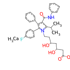 CC(C)c1c(C(=O)Nc2ccccc2)c(-c2ccccc2)c(-c2ccc(F)cc2)n1CCC(O)CC(O)CC(=O)O.[CaH2]